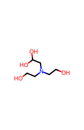 OCCN(CCO)CC(O)O